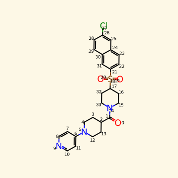 O=C(C1CCN(c2ccncc2)CC1)N1CCC(S(=O)(=O)c2ccc3cc(Cl)ccc3c2)CC1